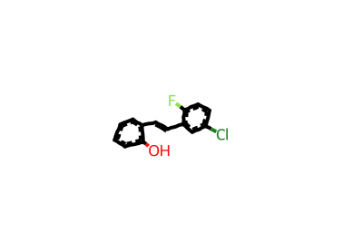 Oc1ccccc1/C=C/c1cc(Cl)ccc1F